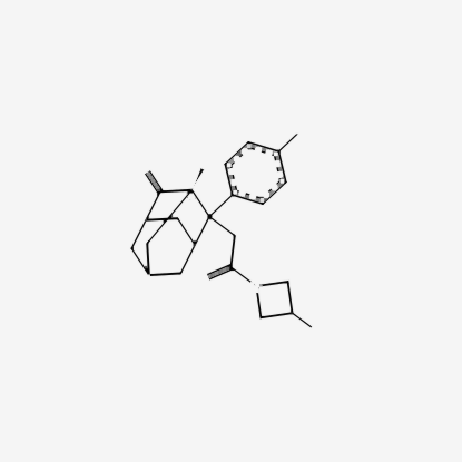 O=C1C2CC3CC(C2)C(CC(=O)N2CC(O)C2)(c2ccc(F)cc2)[C@@H]1C3